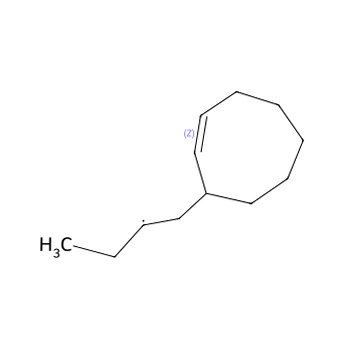 CC[CH]CC1/C=C\CCCCC1